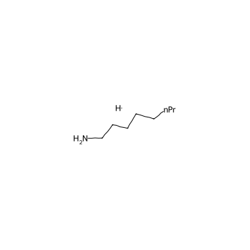 CCCCCCCCN.[H]